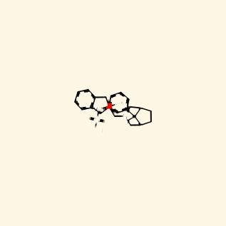 CS(=O)(=O)Nc1cccc(C2(O)C3CCC2CN(CC2(O)Cc4ccccc4C2)C3)c1